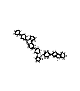 c1ccc(-c2ccc(C3Cc4ccc(-c5ccc6c(c5)c5ccccc5n6-c5ccc(-c6ccc7c(c6)oc6ccccc67)cc5)cc4-c4ccccc43)cc2)cc1